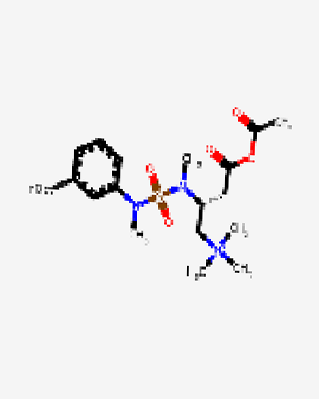 CCCCCCCCc1cccc(N(C)S(=O)(=O)N(C)[C@H](CC(=O)OC(=O)C(F)(F)F)C[N+](C)(C)C)c1